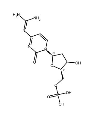 NC(N)=Nc1ccn([C@H]2CC(O)[C@@H](COP(=O)(O)O)O2)c(=O)n1